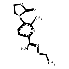 CCON=C(N)c1ccc(N2CCOC2=O)c(C)n1